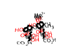 CC[C@H](C)C(=O)O[C@H]1C[C@H](O)C=C2C=C[C@H](C)[C@H](CC[C@@H](O)C[C@@H](O)CC(=O)O)[C@H]21.CC[C@H](C)C(=O)O[C@H]1C[C@H](O)C=C2C=C[C@H](C)[C@H](CC[C@@H](O)C[C@@H](O)CC(=O)O)[C@H]21.[Mg+2].[Na+].[Na+].[O-2].[O-2]